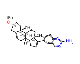 CC(C)(C)O[C@@H]1CC[C@@]2(C)C(=CC[C@@H]3[C@@H]2CC[C@]2(C)C(c4ccc5nc(N)ncc5c4)=CC[C@@H]32)C1